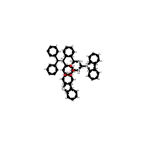 c1ccc(C(c2ccccc2)[C@H](c2ccccc2)c2ccccc2-c2nc(-c3ccc4oc5ccccc5c4c3)nc(-n3c4ccccc4c4ccccc43)n2)cc1